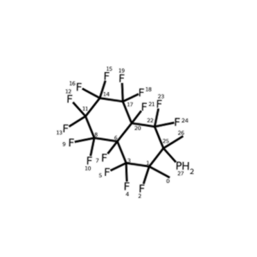 CC1(F)C(F)(F)C2(F)C(F)(F)C(F)(F)C(F)(F)C(F)(F)C2(F)C(F)(F)C1(C)P